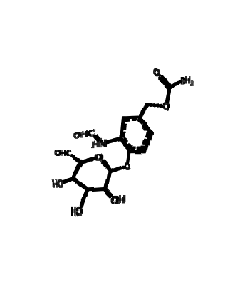 BC(=O)OCc1ccc(OC2OC(C=O)C(O)C(O)C2O)c(NC=O)c1